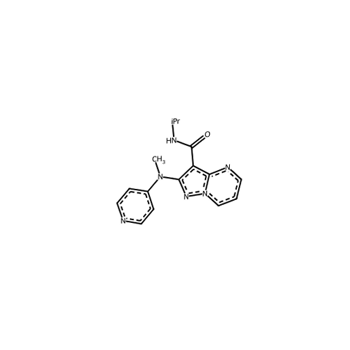 CC(C)NC(=O)c1c(N(C)c2ccncc2)nn2cccnc12